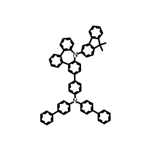 CC1(C)c2ccccc2-c2cc(N3c4ccccc4-c4ccccc4-c4cc(-c5ccc(N(c6ccc(-c7ccccc7)cc6)c6ccc(-c7ccccc7)cc6)cc5)ccc43)ccc21